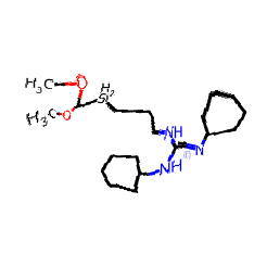 COC(OC)[SiH2]CCCN/C(=N\C1CCCCC1)NC1CCCCC1